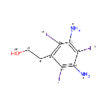 Nc1c(I)c(N)c(I)c(CCO)c1I